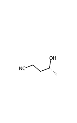 C[C@@H](O)CCC#N